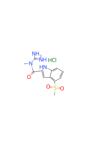 CN(C(=N)N)C(=O)c1cc2c(S(C)(=O)=O)cccc2[nH]1.Cl